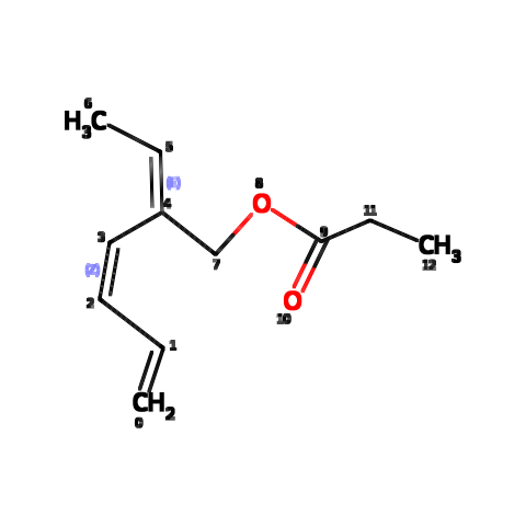 C=C/C=C\C(=C/C)COC(=O)CC